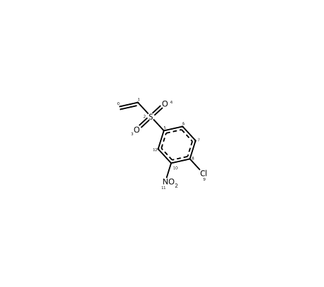 C=CS(=O)(=O)c1ccc(Cl)c([N+](=O)[O-])c1